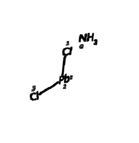 N.[Cl][Pb][Cl]